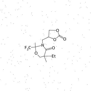 CCC1(C)COC(C)(C(F)(F)F)N(CC2COC(=O)O2)C1=O